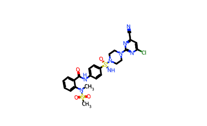 CN(c1ccccc1C(=O)Nc1ccc(S(=N)(=O)N2CCN(c3nc(Cl)cc(C#N)n3)CC2)cc1)S(C)(=O)=O